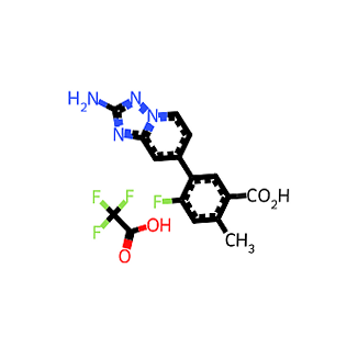 Cc1cc(F)c(-c2ccn3nc(N)nc3c2)cc1C(=O)O.O=C(O)C(F)(F)F